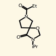 CCC(=O)N1CCC2(C1)OCN(C(C)C)C2=O